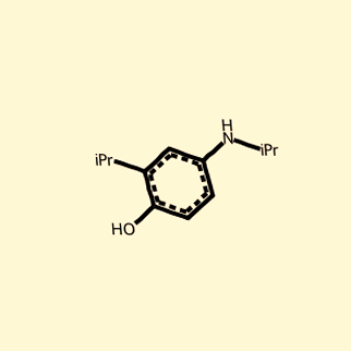 CC(C)Nc1ccc(O)c(C(C)C)c1